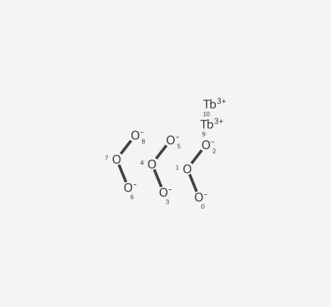 [O-]O[O-].[O-]O[O-].[O-]O[O-].[Tb+3].[Tb+3]